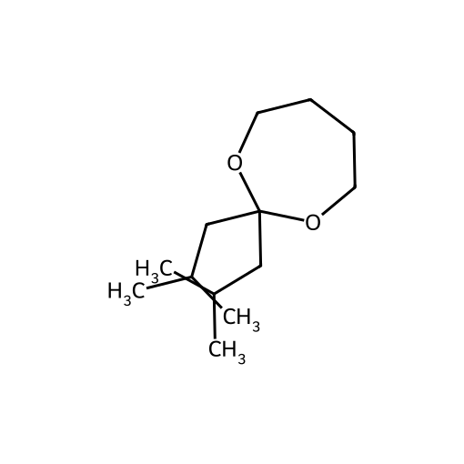 CC(C)CC1(CC(C)C)OCCCCO1